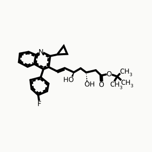 CC(C)(C)OC(=O)C[C@H](O)C[C@@H](O)/C=C/c1c(C2CC2)nc2ccccc2c1-c1ccc(F)cc1